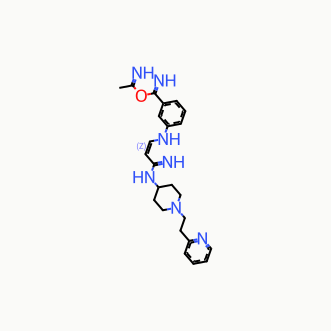 CC(=N)OC(=N)c1cccc(N/C=C\C(=N)NC2CCN(CCc3ccccn3)CC2)c1